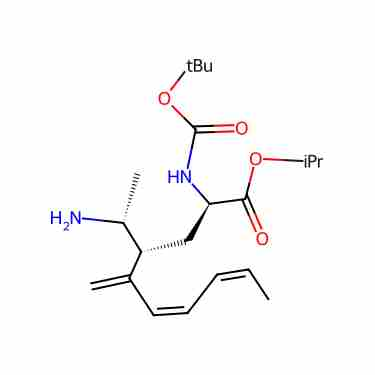 C=C(/C=C\C=C/C)[C@@H](C[C@@H](NC(=O)OC(C)(C)C)C(=O)OC(C)C)[C@@H](C)N